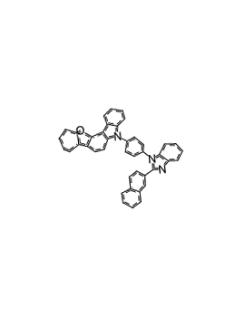 c1ccc2cc(-c3nc4ccccc4n3-c3ccc(-n4c5ccccc5c5c6oc7ccccc7c6ccc54)cc3)ccc2c1